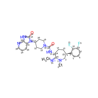 CCN1C[C@H](c2cccc(F)c2F)CC[C@@H](NC(=O)N2CCC(n3c(=O)[nH]c4ncccc43)CC2)/C1=N\C